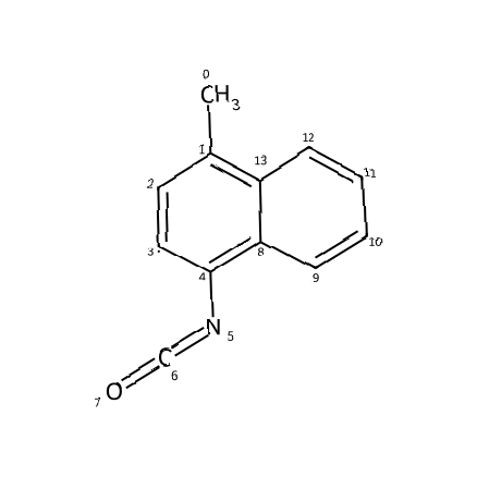 Cc1c[c]c(N=C=O)c2ccccc12